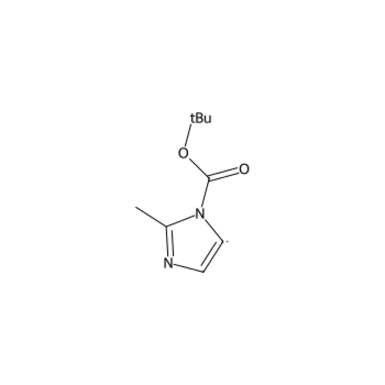 Cc1nc[c]n1C(=O)OC(C)(C)C